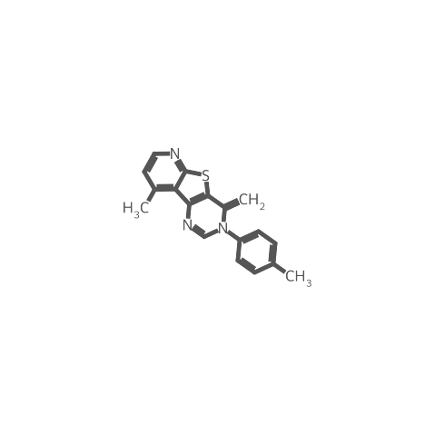 C=C1c2sc3nccc(C)c3c2N=CN1c1ccc(C)cc1